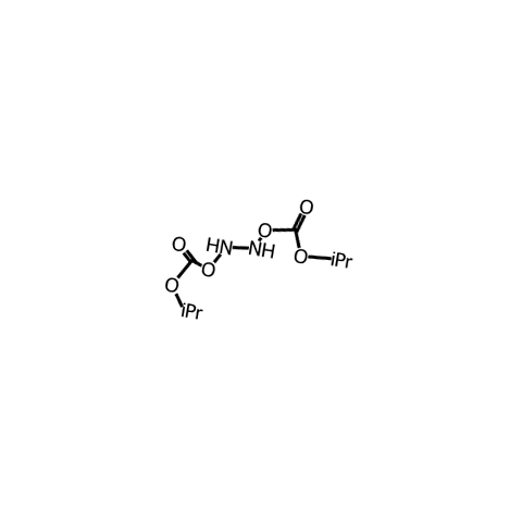 CC(C)OC(=O)ONNOC(=O)OC(C)C